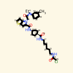 CCN(C(=O)Cn1c(C(=O)N[C@H]2CC[C@H](C(=O)NCCCCCCNC(=O)CCl)CC2)cc2sccc21)c1cccc(C)c1